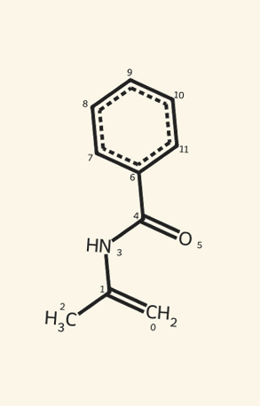 C=C(C)NC(=O)c1ccccc1